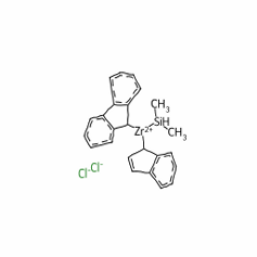 C[SiH](C)[Zr+2]([CH]1C=Cc2ccccc21)[CH]1c2ccccc2-c2ccccc21.[Cl-].[Cl-]